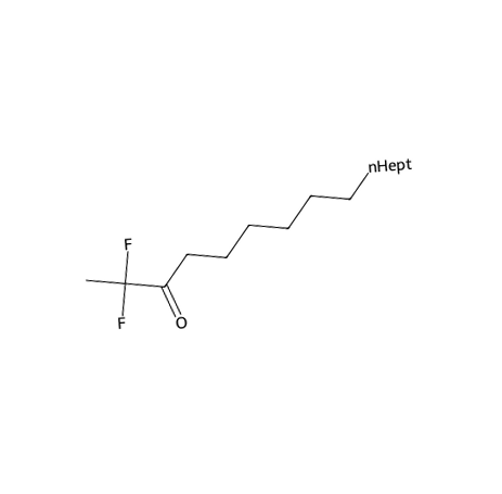 CCCCCCCCCCCCCC(=O)C(C)(F)F